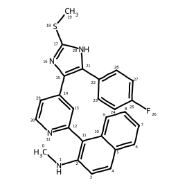 CNc1ccc2ccccc2c1-c1cc(-c2nc(SC)[nH]c2-c2ccc(F)cc2)ccn1